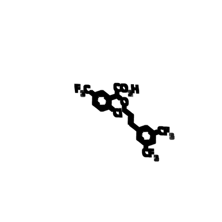 O=C(O)C(OCC=Cc1cc(C(F)(F)F)cc(C(F)(F)F)c1)c1cc(C(F)(F)F)ccc1Cl